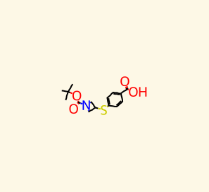 CC(C)(C)OC(=O)N1CC(Sc2ccc(C(=O)O)cc2)C1